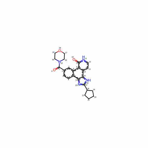 O=C(c1ccc2c(c1)c1c(=O)[nH]ccc1c1[nH]c(C3CCCC3)nc21)N1CCOCC1